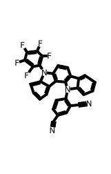 N#Cc1ccc(-n2c3ccccc3c3ccc4c(c5ccccc5n4-c4c(F)c(F)c(F)c(F)c4F)c32)c(C#N)c1